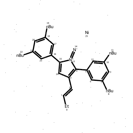 CCC=CC1=C(c2cc(CCCC)cc(CCCC)c2)[N+](=[N-])C(c2cc(CCCC)cc(CCCC)c2)=C1.[Ni]